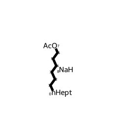 CCCCCCCCCCCCCOC(C)=O.[NaH]